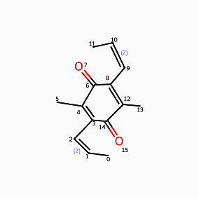 C/C=C\C1=C(C)C(=O)C(/C=C\C)=C(C)C1=O